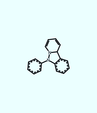 C1=CC2c3ccccc3N(c3ccccc3)N2C=C1